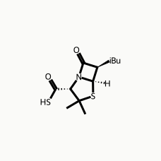 CCC(C)[C@@H]1C(=O)N2[C@@H]1SC(C)(C)[C@@H]2C(=O)S